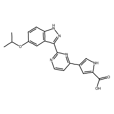 CC(C)Oc1ccc2[nH]nc(-c3nccc(-c4c[nH]c(C(=O)O)c4)n3)c2c1